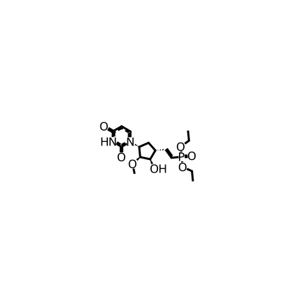 CCOP(=O)(/C=C/[C@H]1C[C@@H](n2ccc(=O)[nH]c2=O)[C@H](OC)[C@@H]1O)OCC